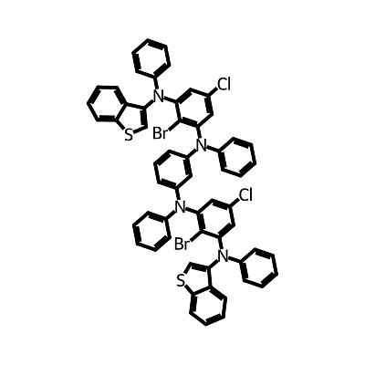 Clc1cc(N(c2ccccc2)c2cccc(N(c3ccccc3)c3cc(Cl)cc(N(c4ccccc4)c4csc5ccccc45)c3Br)c2)c(Br)c(N(c2ccccc2)c2csc3ccccc23)c1